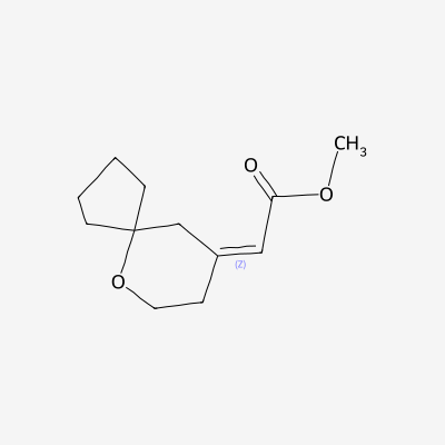 COC(=O)/C=C1/CCOC2(CCCC2)C1